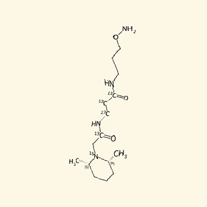 C[C@@H]1CCC[C@H](C)[15N]1C[13C](=O)N[13CH2][13CH2][13C](=O)NCCCON